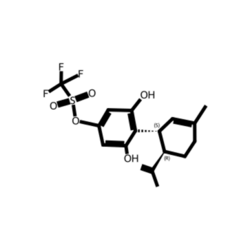 C=C(C)[C@@H]1CCC(C)=C[C@H]1c1c(O)cc(OS(=O)(=O)C(F)(F)F)cc1O